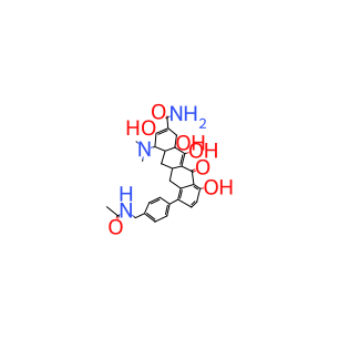 CC(=O)NCc1ccc(-c2ccc(O)c3c2CC2CC4C(N(C)C)C(O)=C(C(N)=O)CC4(O)C(O)=C2C3=O)cc1